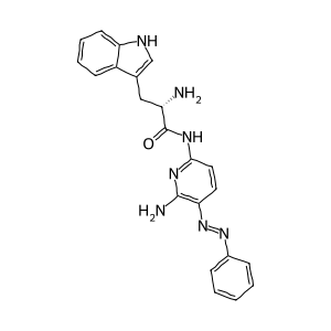 Nc1nc(NC(=O)[C@@H](N)Cc2c[nH]c3ccccc23)ccc1N=Nc1ccccc1